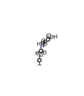 COc1cc(/C=N/NS(=O)(=O)c2ccc(O)c(Cl)c2)cc(OC)c1OCc1ccc(C(C)C)cc1